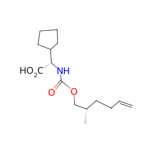 C=CCC[C@H](C)COC(=O)N[C@H](C(=O)O)C1CCCC1